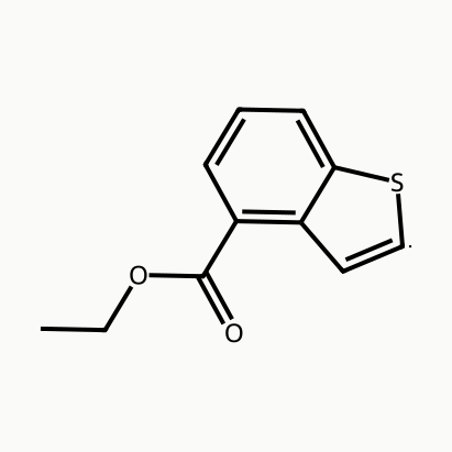 CCOC(=O)c1cccc2s[c]cc12